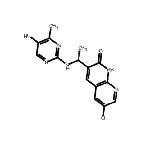 Cc1nc(N[C@@H](C)c2cc3cc(Cl)cnc3[nH]c2=O)ncc1C#N